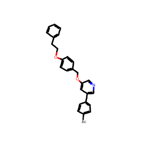 CC(=O)c1ccc(-c2cncc(OCc3ccc(OCCc4ccccc4)cc3)c2)cc1